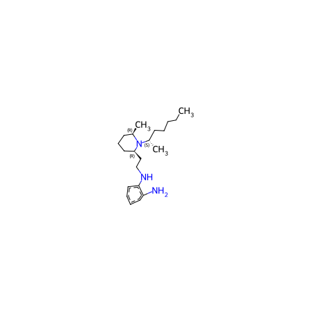 CCCCC[C@H](C)N1[C@@H](CCNc2ccccc2N)CCC[C@H]1C